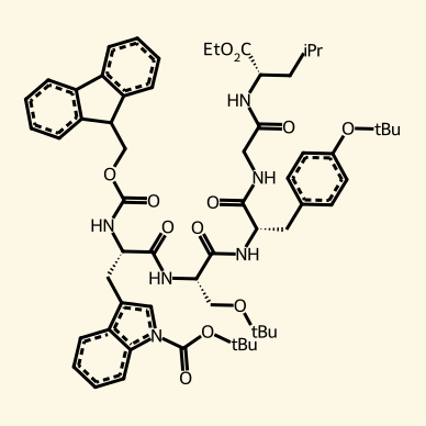 CCOC(=O)[C@H](CC(C)C)NC(=O)CNC(=O)[C@H](Cc1ccc(OC(C)(C)C)cc1)NC(=O)[C@H](COC(C)(C)C)NC(=O)[C@H](Cc1cn(C(=O)OC(C)(C)C)c2ccccc12)NC(=O)OCC1c2ccccc2-c2ccccc21